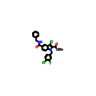 COC(=O)c1c(Cl)c2cc(C(=O)NCc3ccccc3)ccc2n1Cc1ccc(Cl)c(F)c1